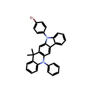 CC1(C)c2ccccc2N(c2ccccc2)c2cc3c4ccccc4n(-c4ccc(Br)cc4)c3cc21